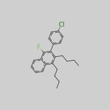 CCCCc1c(-c2ccc(Cl)cc2)c(F)c2ccccc2c1CCCC